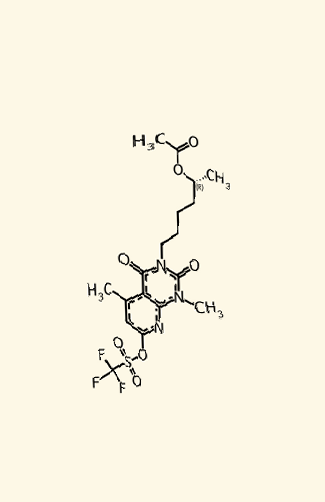 CC(=O)O[C@H](C)CCCCn1c(=O)c2c(C)cc(OS(=O)(=O)C(F)(F)F)nc2n(C)c1=O